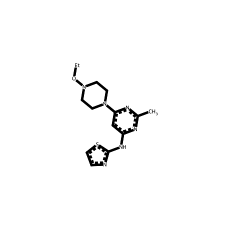 CCON1CCN(c2cc(Nc3nccs3)nc(C)n2)CC1